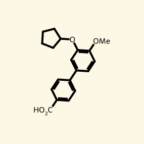 COc1ccc(-c2ccc(C(=O)O)cc2)cc1OC1CCCC1